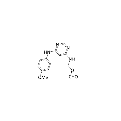 COc1ccc(Nc2cc(NCOC=O)ncn2)cc1